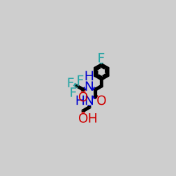 O=C(NCCO)C(Cc1ccc(F)cc1)NC(=O)C(F)(F)F